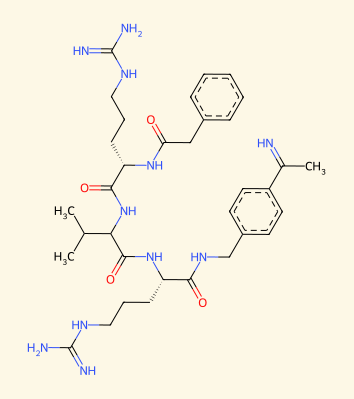 CC(=N)c1ccc(CNC(=O)[C@H](CCCNC(=N)N)NC(=O)C(NC(=O)[C@H](CCCNC(=N)N)NC(=O)Cc2ccccc2)C(C)C)cc1